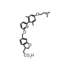 Cc1cc(OCCN(C)C)cc(C)c1-c1cccc(OCc2ccc3c(c2)OCC3CC(=O)O)n1